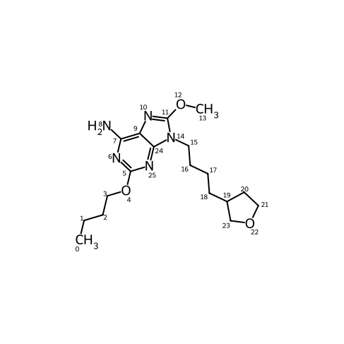 CCCCOc1nc(N)c2nc(OC)n(CCCCC3CCOC3)c2n1